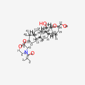 CC(C)C(=O)N1CCO[C@@H](O[C@H]2CC[C@@]3(C)[C@@H](CC[C@H]4[C@]5(C)[C@@H](O)[C@H]6O[C@@H](C=O)C[C@@H](C)[C@H]6[C@@]5(C)CC[C@]43C)C2(C)C)C1